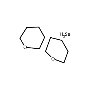 C1CCOCC1.C1CCOCC1.[SeH2]